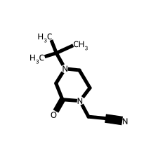 CC(C)(C)N1CCN(CC#N)C(=O)C1